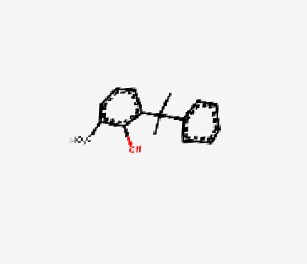 CC(C)(c1ccccc1)c1cccc(C(=O)O)c1O